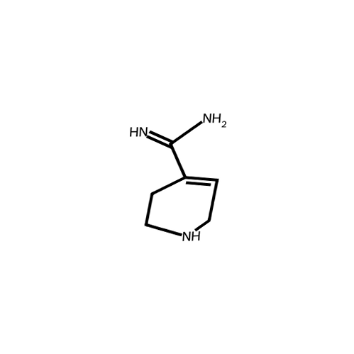 N=C(N)C1=CCNCC1